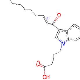 CCCCCC/C=C/C(=O)c1cn(CCCC(=O)O)c2ccccc12